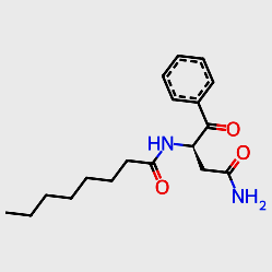 CCCCCCCC(=O)N[C@H](CC(N)=O)C(=O)c1ccccc1